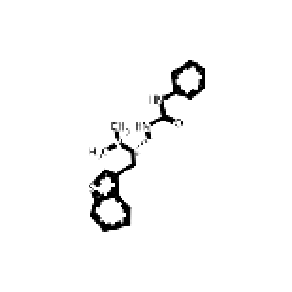 CN(C)[C@H](CNC(=O)Nc1ccccc1)Cc1csc2ccccc12